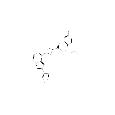 Cc1ccc([C@H](CCN)NC(=O)C2CN(c3ncnn4cc(-c5cnn(C)c5)cc34)C2)cc1